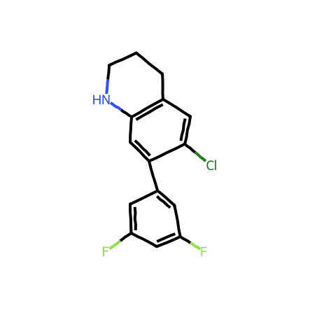 Fc1cc(F)cc(-c2cc3c(cc2Cl)CCCN3)c1